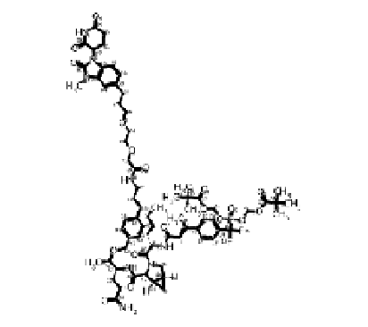 CCCC[C@H](NC(=O)/C=C(\C)c1ccc(C(F)(F)P(=O)(OCOC(=O)C(C)(C)C)OCOC(=O)C(C)(C)C)cc1)C(=O)N1C[C@H]2C[C@H]2[C@H]1C(=O)N[C@@H](CCC(N)=O)[C@@H](C)OCc1ccc(CCCNC(=O)COCCOCCCc2ccc3c(c2)n(C)c(=O)n3C2CCC(=O)NC2=O)cc1